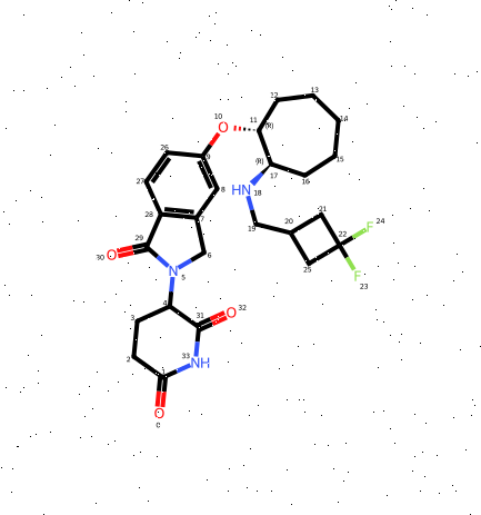 O=C1CCC(N2Cc3cc(O[C@@H]4CCCCC[C@H]4NCC4CC(F)(F)C4)ccc3C2=O)C(=O)N1